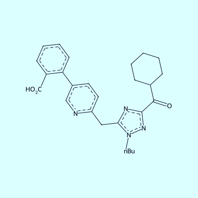 CCCCn1nc(C(=O)C2CCCCC2)nc1Cc1ccc(-c2ccccc2C(=O)O)cn1